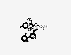 Cc1cccc(C)c1-c1cncc(C(CC(=O)O)NC(=O)[C@@H](CC(C)C)N2CCC(C)CC2=O)c1